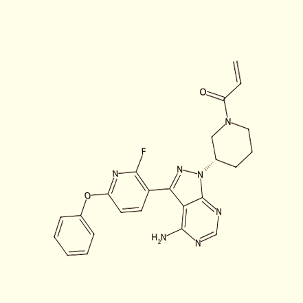 C=CC(=O)N1CCC[C@H](n2nc(-c3ccc(Oc4ccccc4)nc3F)c3c(N)ncnc32)C1